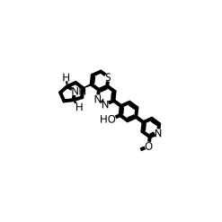 COc1cc(-c2ccc(-c3cc4c(nn3)C([C@@H]3C[C@H]5CC[C@@H](C3)N5)=CCS4)c(O)c2)ccn1